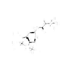 COc1cc(NC(=O)C(I)[N+](C)(C)C)ncc1[Si](F)(C(C)(C)C)C(C)(C)C